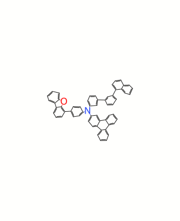 c1cc(-c2cccc(N(c3ccc(-c4cccc5c4oc4ccccc45)cc3)c3ccc4c5ccccc5c5ccccc5c4c3)c2)cc(-c2cccc3ccccc23)c1